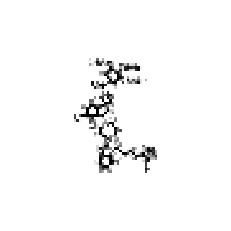 COc1cc(C(=O)N2CCC(CCN3CCCN(c4nc5ccccc5n4CCCCc4nnn[nH]4)CC3)(c3ccc(Cl)c(Cl)c3)C2)cc(OC)c1OC